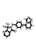 [2H]C1([2H])c2ncccc2C(=O)N1Cc1ccc(-c2cccc3nncn23)cc1